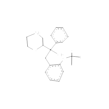 OC(Cc1ccccc1OC(F)(F)F)(c1ccccc1)C1CNCCO1